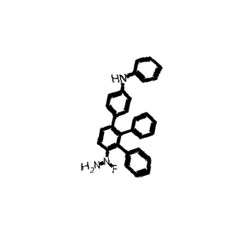 NN(F)c1ccc(-c2ccc(Nc3ccccc3)cc2)c(-c2ccccc2)c1-c1ccccc1